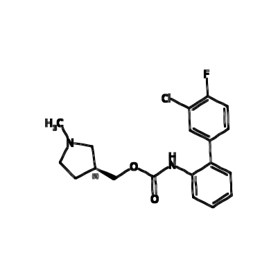 CN1CC[C@H](COC(=O)Nc2ccccc2-c2ccc(F)c(Cl)c2)C1